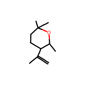 C=C(C)C1CCC(C)(C)OC1C